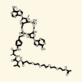 CC(=O)NCCOCCOCCOCCOCCC(=O)N[C@H](C(=O)N[C@@H](C)C(=O)Nc1ccc(CSP2(=O)OC[C@H]3O[C@@H](n4cnc5c(N)ncnc54)[C@H](F)[C@@H]3OP(=O)(O)OC[C@H]3O[C@@H](n4cnc5c(O)ncnc54)C[C@@H]3O2)cc1)C(C)C